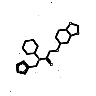 O=C(COC1CCC2OCOC2C1)N(Cc1cccs1)C1CCCCC1